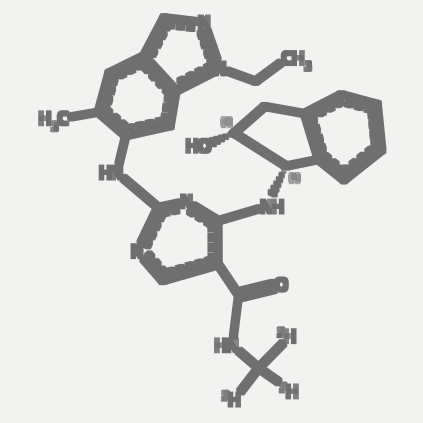 [2H]C([2H])([2H])NC(=O)c1cnc(Nc2cc3c(cnn3CC)cc2C)nc1N[C@H]1c2ccccc2C[C@H]1O